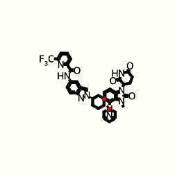 Cn1c(=O)n(C2CCC(=O)NC2=O)c2cccc(N3CC4CC(C3)N4C[C@H]3CC[C@H](n4cc5cc(NC(=O)c6cccc(C(F)(F)F)n6)ccc5n4)CC3)c21